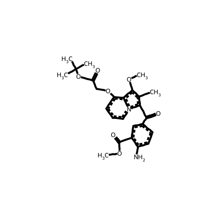 COC(=O)c1cc(C(=O)c2c(C)c(OC)c3c(OCC(=O)OC(C)(C)C)cccn23)ccc1N